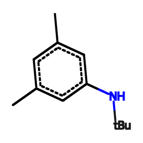 Cc1cc(C)cc(NC(C)(C)C)c1